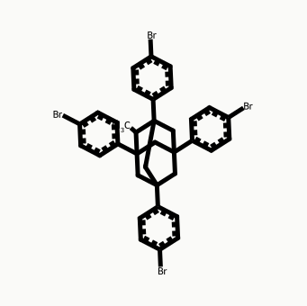 ClC(Cl)(Cl)C1C2(c3ccc(Br)cc3)CC3(c4ccc(Br)cc4)CC(c4ccc(Br)cc4)(C2)CC1(c1ccc(Br)cc1)C3